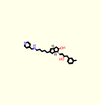 Cc1cccc(C[C@@H](O)/C=C/[C@@H]2[C@H]3CC(CCCCCNCc4ccncc4)=C[C@H]3C[C@H]2O)c1